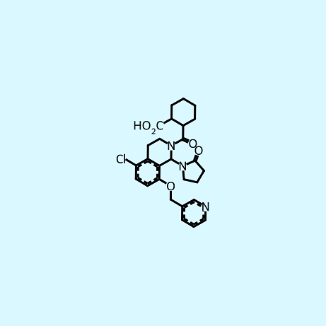 O=C(O)C1CCCCC1C(=O)N1CCc2c(Cl)ccc(OCc3cccnc3)c2C1N1CCCC1=O